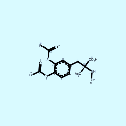 CC(=O)O[C@](Cc1ccc(OC(=O)C(C)C)c(OC(=O)C(C)C)c1)(NC(C)C)C(=O)O